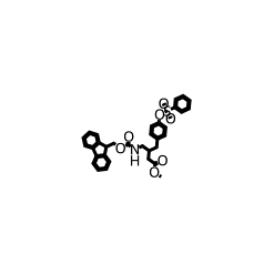 COC(=O)CC(CNC(=O)OCC1c2ccccc2-c2ccccc21)Cc1ccc(OS(=O)(=O)c2ccccc2)cc1